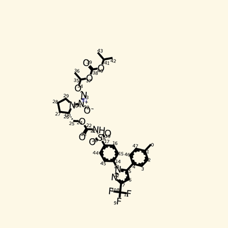 Cc1ccc(-c2cc(C(F)(F)F)nn2-c2ccc(S(=O)(=O)NC(=O)OC[C@@H]3CCCN3/[N+]([O-])=N\OC(C)OC(=O)OC(C)C)cc2)cc1